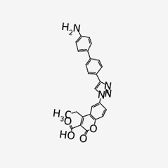 CCc1c(C(=O)O)c(=O)oc2ccc(-n3cc(-c4ccc(-c5ccc(N)cc5)cc4)nn3)cc12